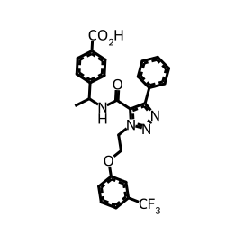 CC(NC(=O)c1c(-c2ccccc2)nnn1CCOc1cccc(C(F)(F)F)c1)c1ccc(C(=O)O)cc1